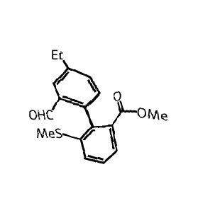 CCc1ccc(-c2c(SC)cccc2C(=O)OC)c(C=O)c1